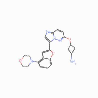 NC1CC(Oc2ccc3ncc(-c4cc5c(N6CCOCC6)cccc5o4)n3n2)C1